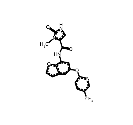 Cn1c(C(=O)Nc2cc(Oc3ccc(C(F)(F)F)cn3)cc3ccoc23)c[nH]c1=O